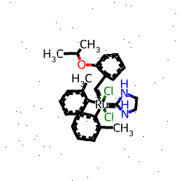 Cc1cccc[c]1[Ru]([Cl])([Cl])(=[CH]c1ccccc1OC(C)C)(=[C]1NCCN1)[c]1ccccc1C